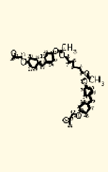 CC(OCCCCCCOC(C)Oc1ccc(Cc2ccc(OCC3CO3)cc2)cc1)Oc1ccc(Cc2ccc(OCC3CO3)cc2)cc1